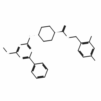 CNc1nc(N[C@H]2CC[C@H](C(=O)NCc3ccc(Cl)cc3Cl)CC2)nc(-c2ccccc2)n1